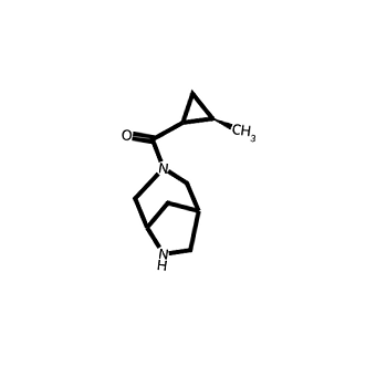 C[C@@H]1CC1C(=O)N1CC2CNC(C2)C1